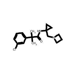 CC(C)(C(=O)NC1(CN2CCC2)CC1)c1cccc(Cl)c1